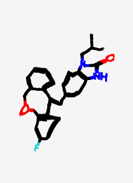 CC(C)Cn1c(=O)[nH]c2cc(/C=C3\c4ccccc4COc4cc(F)ccc43)ccc21